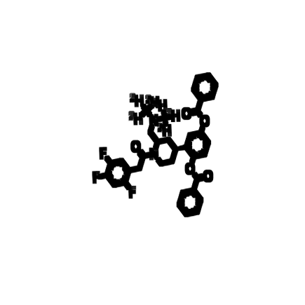 [2H]C([2H])([2H])N(CC1C[C@@H](c2cc(OC(=O)c3ccccc3)ccc2OC(=O)c2ccccc2)CCN1C(=O)Cc1cc(F)c(F)cc1F)C([2H])([2H])[2H]